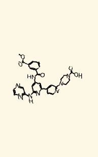 COC(=O)c1cccc(C(=O)Nc2cc(Nc3cnccn3)nc(-c3ccnc(N4CCN(C(=O)O)CC4)c3)c2)c1